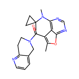 Cc1oc2ncnc(N(C)C3(C)CC3)c2c1C(=O)N1CCc2ncccc2C1